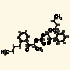 CCCCc1ccccc1C(=O)C(C)OS(=O)OC(C)C(=O)c1ccccc1CCCC